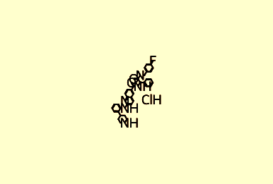 CN(Cc1ccc(F)cc1)C(=O)C(NC(=O)c1ccc2nc(Nc3ccccc3C3CCNCC3)ccc2c1)c1ccccc1.Cl